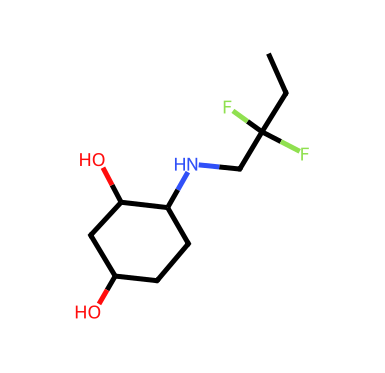 CCC(F)(F)CNC1CCC(O)CC1O